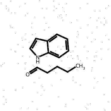 CCCCC=O.c1ccc2[nH]ccc2c1